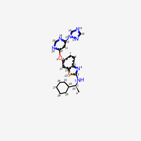 C[C@H](Nc1nc2ccc(Oc3cc(-n4cncn4)ncn3)cc2s1)C1CCCCC1